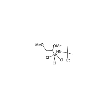 CCC(C)(C)[NH][Nb]([Cl])([Cl])([Cl])[CH](COC)OC